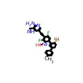 Cc1ccc(-c2ccc(S)c(-c3cc(F)c(C#Cc4cnc(N)c(C=N)c4)c(F)c3NO)c2)cc1